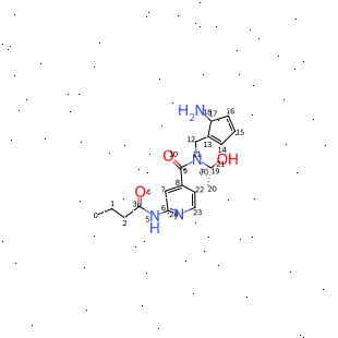 CCCC(=O)Nc1cc(C(=O)N(CC2=CC=CC2N)[C@@H](C)O)ccn1